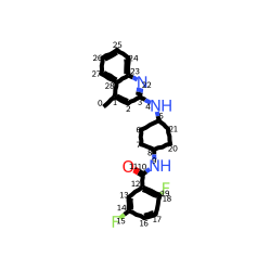 Cc1cc(NC2CCC(NC(=O)c3cc(F)ccc3F)CC2)nc2ccccc12